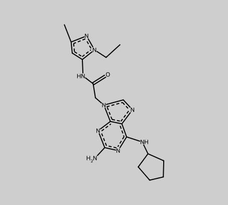 CCn1nc(C)cc1NC(=O)Cn1cnc2c(NC3CCCC3)nc(N)nc21